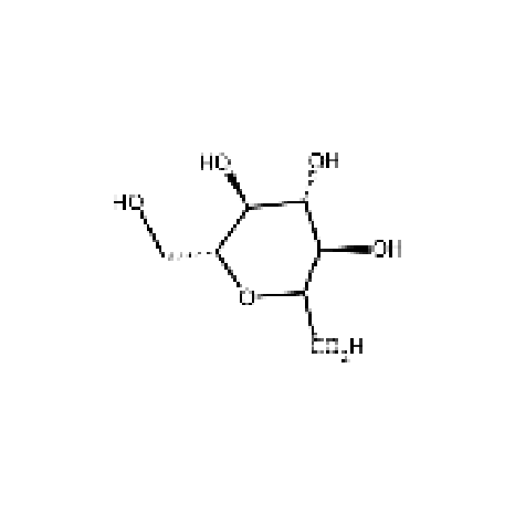 O=C(O)C1O[C@H](CO)[C@@H](O)[C@H](O)[C@H]1O